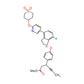 CC#CC(CC(=O)OC)c1ccc(O[C@@H]2CCc3c(-c4ccc(OC5CCS(=O)(=O)CC5)nc4)ccc(F)c32)cc1